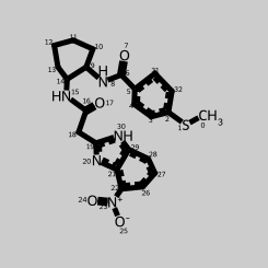 CSc1ccc(C(=O)NC2CCCCC2NC(=O)Cc2nc3c([N+](=O)[O-])cccc3[nH]2)cc1